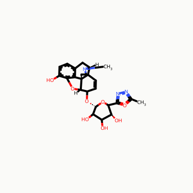 Cc1nnc(C2O[C@@H](OC3C=CC4[C@H]5Cc6ccc(O)c7c6[C@@]4(CCN5C)[C@H]3O7)C(O)C(O)[C@@H]2O)o1